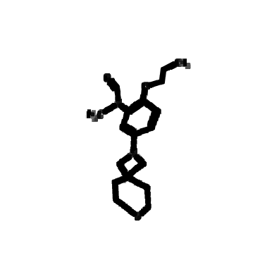 CCCOc1ccc(N2CC3(CCOCC3)C2)cc1N(C)C=O